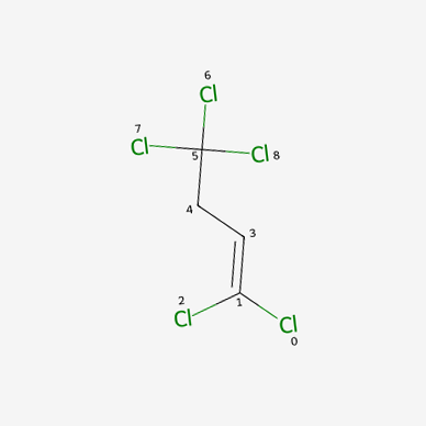 ClC(Cl)=CCC(Cl)(Cl)Cl